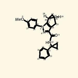 COc1ccc(-n2nc(C(=O)NC3(c4ccccc4)CC3)c3c2[C@@H]2C[C@@H]2C3)cc1